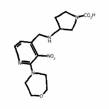 O=C(O)N1CCC(NCc2ccnc(N3CCOCC3)c2[N+](=O)[O-])C1